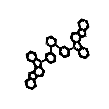 c1cc(-c2cccnc2-c2cccc(-n3c4ccccc4c4c5sc6ccccc6c5ccc43)c2)cc(-n2c3ccccc3c3c4sc5ccccc5c4ccc32)c1